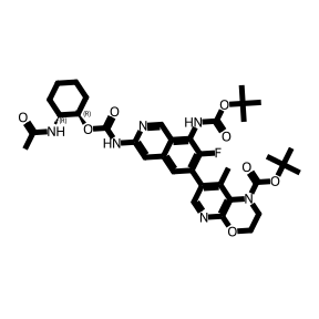 CC(=O)N[C@@H]1CCCC[C@H]1OC(=O)Nc1cc2cc(-c3cnc4c(c3C)N(C(=O)OC(C)(C)C)CCO4)c(F)c(NC(=O)OC(C)(C)C)c2cn1